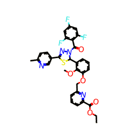 CCOC(=O)c1cccc(COc2cccc(C3SC(c4ccc(C)nc4)=NN3C(=O)c3c(F)cc(F)cc3F)c2OC)n1